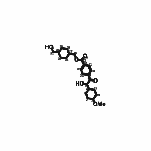 COC1CCC(C(O)C(=O)c2ccc(C(=O)OCC3CCC(CO)CC3)cc2)CC1